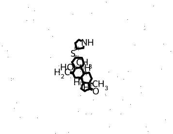 C=C1C[C@H]2[C@@H]3CCC(=O)[C@@]3(C)CC[C@@H]2[C@@]2(C)CC[C@@H](S[C@@H]3CCNC3)C[C@]12O